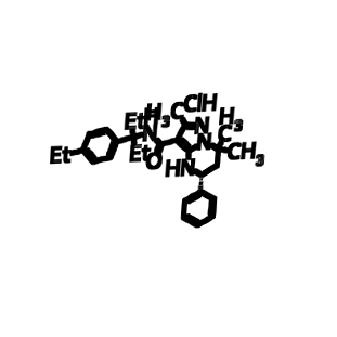 CCc1ccc(C(CC)(CC)NC(=O)c2c(C)nn3c2N[C@@H](c2ccccc2)CC3(C)C)cc1.Cl